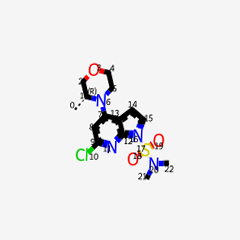 C[C@@H]1COCCN1c1cc(Cl)nc2c1ccn2S(=O)(=O)N(C)C